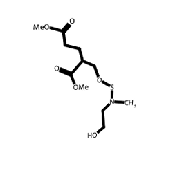 COC(=O)CCC(COSN(C)CCO)C(=O)OC